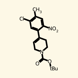 Cc1cc([N+](=O)[O-])c(C2=CCN(C(=O)OC(C)(C)C)CC2)cc1Cl